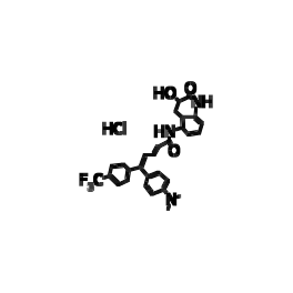 CN(C)c1ccc(/C(=C\C=C\C(=O)Nc2cccc3c2CC(O)C(=O)N3)c2ccc(C(F)(F)F)cc2)cc1.Cl